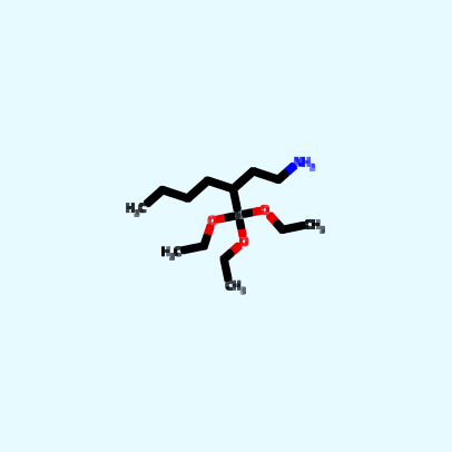 CCCCC(CCN)[Si](OCC)(OCC)OCC